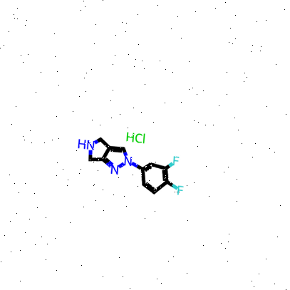 Cl.Fc1ccc(-n2cc3c(n2)CNC3)cc1F